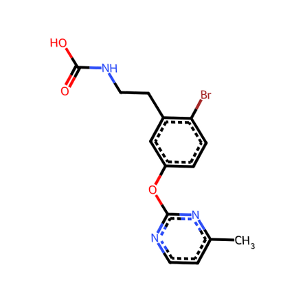 Cc1ccnc(Oc2ccc(Br)c(CCNC(=O)O)c2)n1